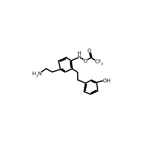 NCCc1ccc(NOC(=O)C(F)(F)F)c(CCc2cccc(O)c2)c1